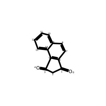 O=C1CC(=O)c2c1ccc1ccccc21